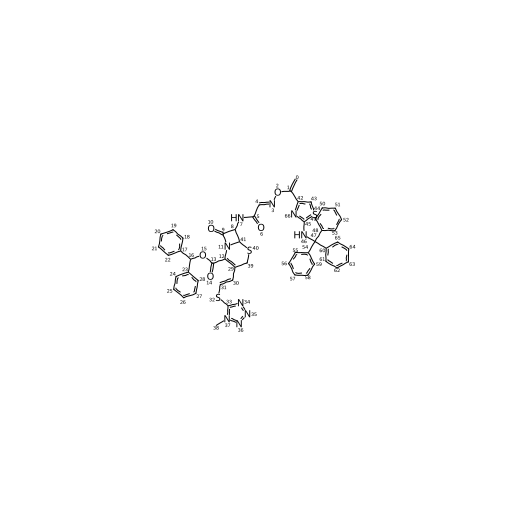 C=C(ON=CC(=O)NC1C(=O)N2C(C(=O)OC(c3ccccc3)c3ccccc3)=C(C=CSc3nnnn3C)CSC12)c1csc(NC(c2ccccc2)(c2ccccc2)c2ccccc2)n1